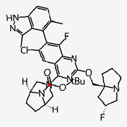 Cc1ccc2[nH]nc(C)c2c1-c1c(Cl)cc2c(N3C[C@H]4CC[C@@H](C3)N4C(=O)OC(C)(C)C)nc(OC[C@@]34CCCN3C[C@H](F)C4)nc2c1F